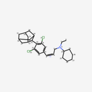 CCN(C/C=C\c1cc(Cl)c(C2C3CC4CC(C3)CC2C4)c(Cl)c1)C1CCCCC1